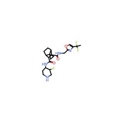 CC(F)(F)c1coc(CNC(=O)C2C(C(=O)NC3CCNCC3F)C3CCC2C32CC2)n1